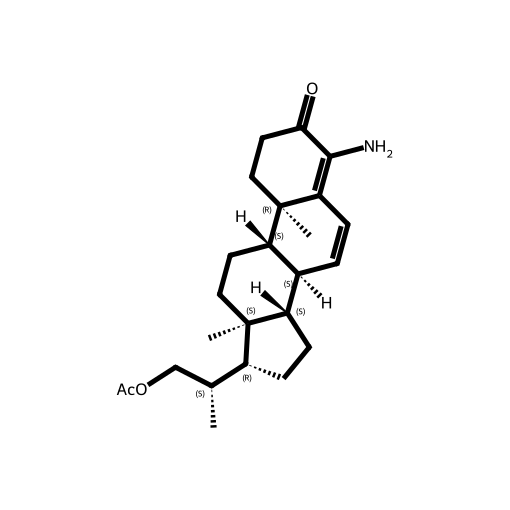 CC(=O)OC[C@@H](C)[C@H]1CC[C@H]2[C@@H]3C=CC4=C(N)C(=O)CC[C@]4(C)[C@H]3CC[C@]12C